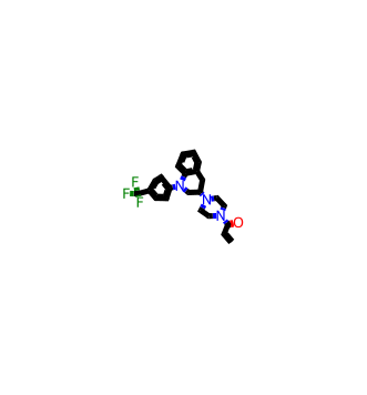 C=CC(=O)N1CCN(C2Cc3ccccc3N(c3ccc(C(F)(F)F)cc3)C2)CC1